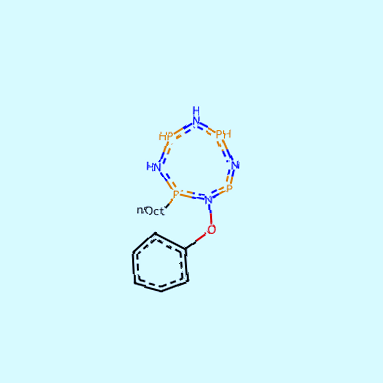 CCCCCCCCp1[nH][pH][nH][pH]npn1Oc1ccccc1